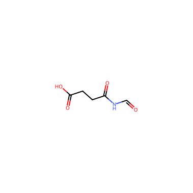 O=CNC(=O)CCC(=O)O